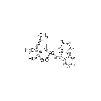 CC#C[C@H](C)[C@H](NC(=O)OCC1c2ccccc2-c2ccccc21)C(=O)O